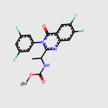 CC(NC(=O)OC(C)(C)C)c1nc2cc(F)c(F)cc2c(=O)n1-c1cc(F)cc(F)c1